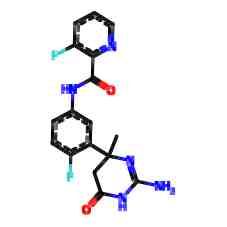 CC1(c2cc(NC(=O)c3ncccc3F)ccc2F)CC(=O)NC(N)=N1